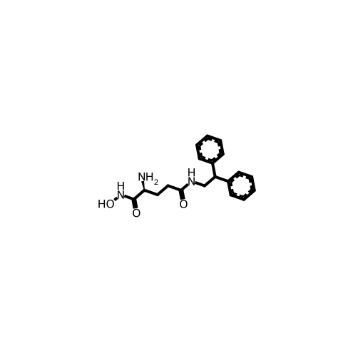 N[C@@H](CCC(=O)NCC(c1ccccc1)c1ccccc1)C(=O)NO